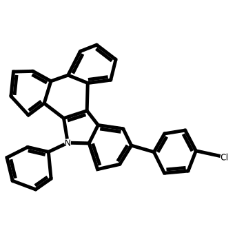 Clc1ccc(-c2ccc3c(c2)c2c4ccccc4c4ccccc4c2n3-c2ccccc2)cc1